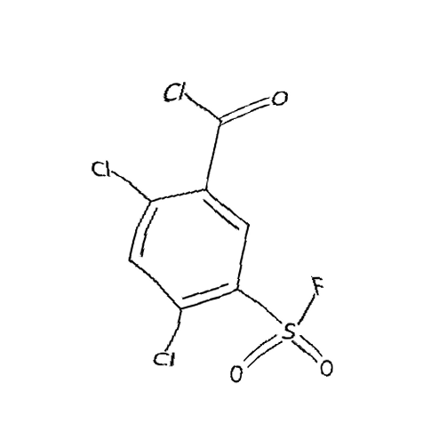 O=C(Cl)c1cc(S(=O)(=O)F)c(Cl)cc1Cl